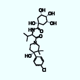 CC(C)[C@@H](NC(=O)[C@]1(O)C[C@@H](O)[C@@H](O)[C@@H](O)C1)C(=O)N1CC[C@](O)(c2ccc(Cl)cc2)C(C)(C)C1